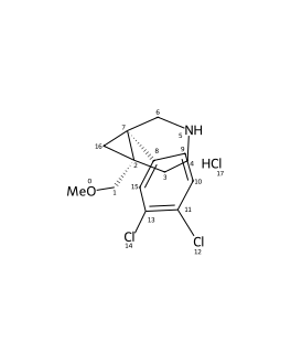 COC[C@@]12CCNC[C@]1(c1ccc(Cl)c(Cl)c1)C2.Cl